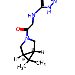 CC1(C)[C@@H]2CN(C(=O)CNc3ccn[nH]3)C[C@@H]21